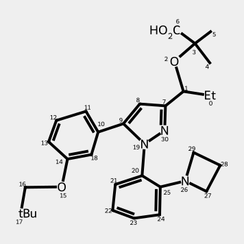 CCC(OC(C)(C)C(=O)O)c1cc(-c2cccc(OCC(C)(C)C)c2)n(-c2ccccc2N2CCC2)n1